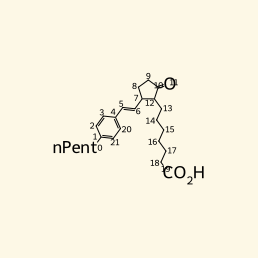 CCCCCc1ccc(/C=C/C2CCC(=O)C2CCCCCCC(=O)O)cc1